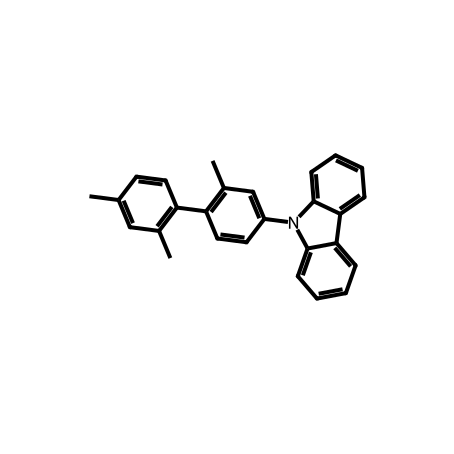 Cc1ccc(-c2ccc(-n3c4ccccc4c4ccccc43)cc2C)c(C)c1